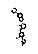 COc1cc(/C=C2\CCCN([C@H]3Cc4ccc(N5CCOCC5)cc4C3)C2=O)ccc1-n1cnc(C)c1